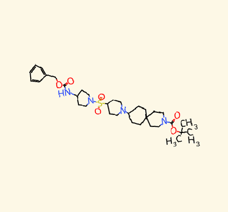 CC(C)(C)OC(=O)N1CCC2(CCC(N3CCC(S(=O)(=O)N4CCC(NC(=O)OCc5ccccc5)CC4)CC3)CC2)CC1